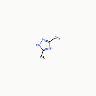 CC1=NNC(C)=[N+]1